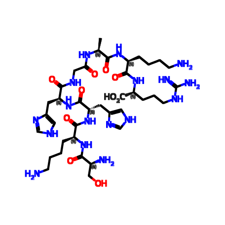 C[C@H](NC(=O)CNC(=O)[C@H](Cc1c[nH]cn1)NC(=O)[C@H](Cc1c[nH]cn1)NC(=O)[C@H](CCCCN)NC(=O)[C@@H](N)CO)C(=O)N[C@@H](CCCCN)C(=O)N[C@@H](CCCNC(=N)N)C(=O)O